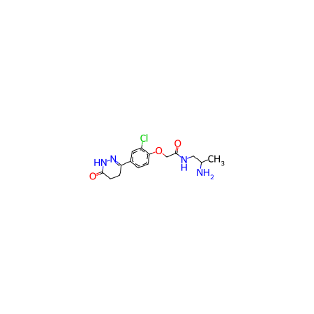 CC(N)CNC(=O)COc1ccc(C2=NNC(=O)CC2)cc1Cl